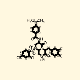 CC(C)N1CC2N(C(=O)C(NC(=O)c3ccc(N(C)C)cc3)CN2S(=O)(=O)c2ccc(Cl)cc2Cl)C(Cc2ccc(Cl)c(Cl)c2)C1=O